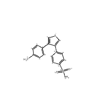 Cc1ccc(-c2cscc2-c2ccc(S(N)(=O)=O)cc2)cc1